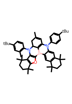 CC1=CC2=C3B(c4cc5c(cc4N2c2ccc(C(C)(C)C)cc2)C(C)(C)CCC5(C)C)c2oc4c(c2N(c2ccc(C(C)(C)C)cc2C)C3C1)C(C)(C)CCC4(C)C